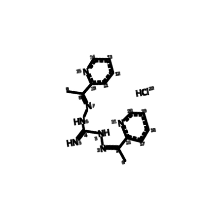 CC(=NNC(=N)NN=C(C)c1ccccn1)c1ccccn1.Cl